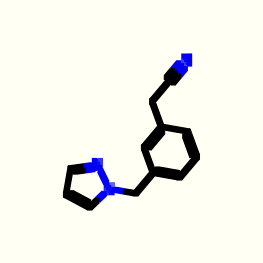 N#CCc1cccc(Cn2cccn2)c1